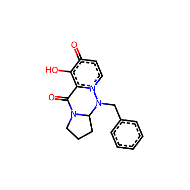 O=C1c2c(O)c(=O)ccn2N(Cc2ccccc2)C2CCCN12